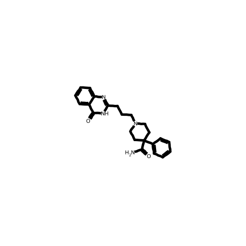 NC(=O)C1(c2ccccc2)CCN(CCCc2nc3ccccc3c(=O)[nH]2)CC1